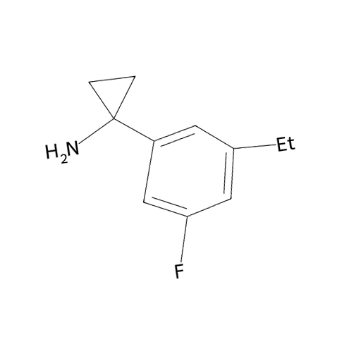 CCc1cc(F)cc(C2(N)CC2)c1